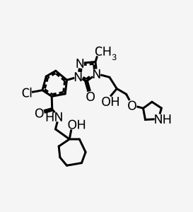 Cc1nn(-c2ccc(Cl)c(C(=O)NCC3(O)CCCCCC3)c2)c(=O)n1CC(O)COC1CCNC1